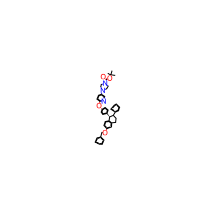 CC(C)(C)OC(=O)N1CCN(c2ccc(Oc3ccc([C@@H]4c5ccc(OCc6ccccc6)cc5CCC4c4ccccc4)cc3)nc2)CC1